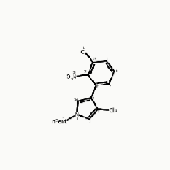 CCCCCn1cc(Cl)c(-c2cccc(Cl)c2[N+](=O)[O-])c1